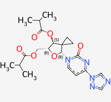 CC(C)C(=O)OC[C@H]1O[C@@H](n2ccc(-n3cncn3)nc2=O)C2(CC2)[C@@H]1OC(=O)C(C)C